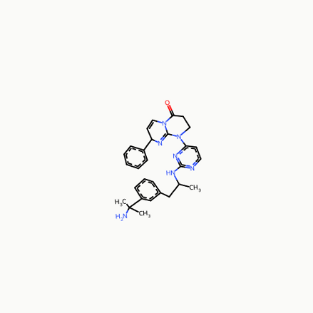 CC(Cc1cccc(C(C)(C)N)c1)Nc1nccc(N2CCC(=O)N3C=CC(c4ccccc4)N=C32)n1